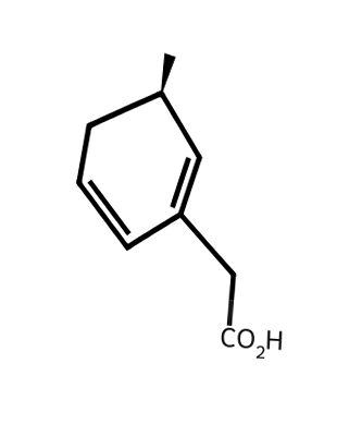 C[C@H]1C=C(CC(=O)O)C=CC1